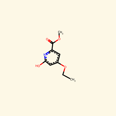 CCOc1cc(O)nc(C(=O)OC)c1